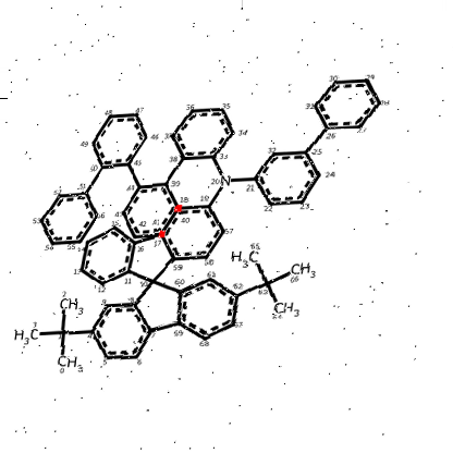 CC(C)(C)c1ccc2c(c1)C1(c3ccccc3-c3cc(N(c4cccc(-c5ccccc5)c4)c4ccccc4-c4ccccc4-c4ccccc4-c4ccccc4)ccc31)c1cc(C(C)(C)C)ccc1-2